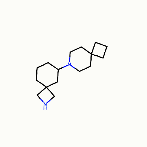 C1CC2(C1)CCN(C1CCCC3(CNC3)C1)CC2